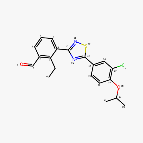 CCc1c(C=O)cccc1-c1nsc(-c2ccc(OC(C)C)c(Cl)c2)n1